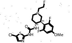 COc1cc(F)c([C@@H]2CN(CCF)CC[C@H]2NC(=O)Nc2ncc(Cl)s2)c(F)c1